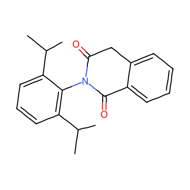 CC(C)c1cccc(C(C)C)c1N1C(=O)Cc2ccccc2C1=O